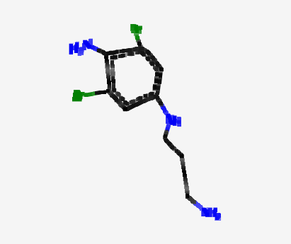 NCCCNc1cc(Br)c(N)c(Br)c1